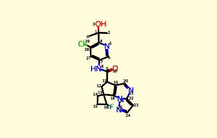 CC(C)(O)c1ncc(NC(=O)C2CC3(CCC3F)c3c2cnc2ccnn32)cc1Cl